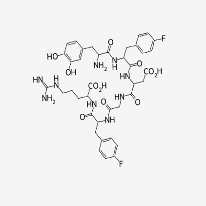 N=C(N)NCCCC(NC(=O)C(Cc1ccc(F)cc1)NC(=O)CNC(=O)C(CC(=O)O)NC(=O)C(Cc1ccc(F)cc1)NC(=O)C(N)Cc1ccc(O)c(O)c1)C(=O)O